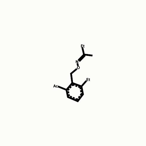 CCC(C)=NOCc1c(CC)cccc1C(C)=O